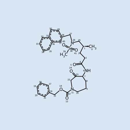 C[C@@H](CCC(=O)NC1CCCN(C(=O)OCc2ccccc2)CC1=O)CN(Cc1ccc2ccccc2c1)S(C)(=O)=O